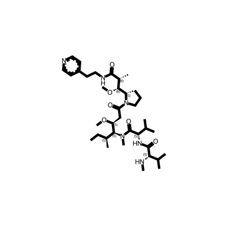 CC[C@H](C)[C@@H]([C@H](CC(=O)N1CCC[C@H]1[C@H](OC)[C@@H](C)C(=O)NCCc1ccncc1)OC)N(C)C(=O)[C@@H](NC(=O)[C@@H](NC)C(C)C)C(C)C